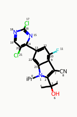 CC(C)n1c(C(C)(C)O)c(C#N)c2c(F)cc(-c3nc(Cl)ncc3Cl)cc21